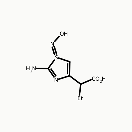 CCC(C(=O)O)C1=CS(=NO)C(N)=N1